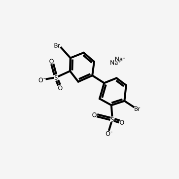 O=S(=O)([O-])c1cc(-c2ccc(Br)c(S(=O)(=O)[O-])c2)ccc1Br.[Na+].[Na+]